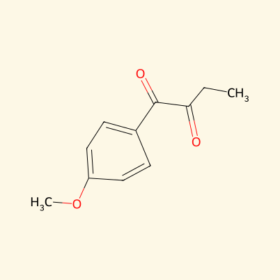 CCC(=O)C(=O)c1ccc(OC)cc1